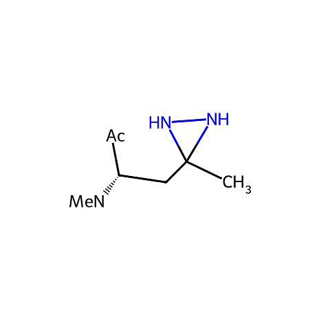 CN[C@@H](CC1(C)NN1)C(C)=O